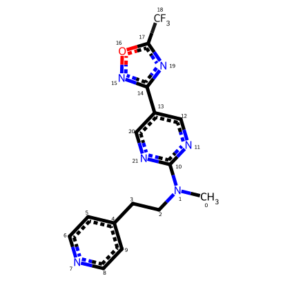 CN(CCc1ccncc1)c1ncc(-c2noc(C(F)(F)F)n2)cn1